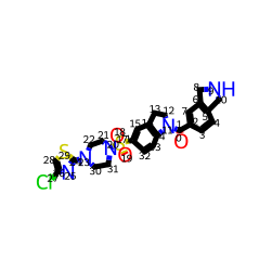 O=C(c1ccc2c(c1)CNC2)N1CCc2cc(S(=O)(=O)N3CCN(c4nc(Cl)cs4)CC3)ccc21